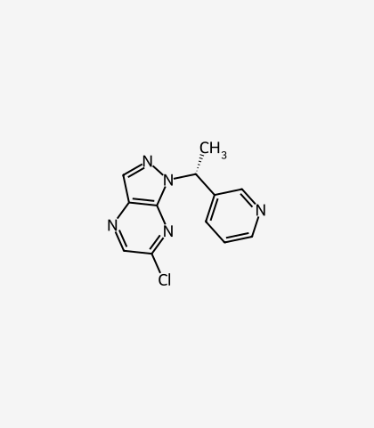 C[C@H](c1cccnc1)n1ncc2ncc(Cl)nc21